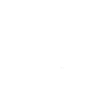 COC(=O)c1ccc(C(C)C=O)cc1OC